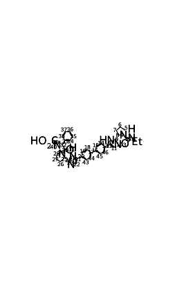 CCNC(=O)N1CCC[C@H]1c1ncc(-c2ccc(-c3ccc(-c4cnc([C@@H]5CCCN5C(=O)[C@@H](c5ccccc5)N(C)C(=O)O)[nH]4)cc3)cc2)[nH]1